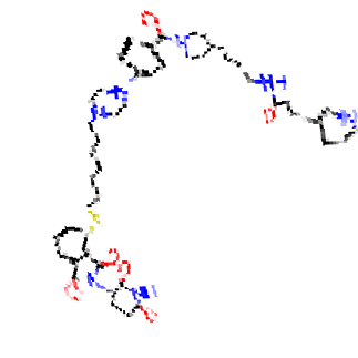 O=C(/C=C/c1cccnc1)NCCCCC1CCN(C(=O)c2ccc(N3CCN(CCCCCCCSc4cccc5c4C(=O)N(C4CCC(=O)NC4=O)C5=O)CC3)cc2)CC1